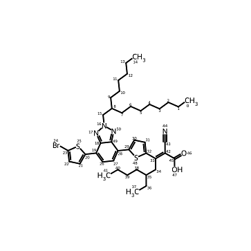 CCCCCCCCC(CCCCCC)Cn1nc2c(-c3ccc(Br)s3)ccc(-c3ccc(/C(CC(CC)CCCC)=C(\C#N)C(=O)O)s3)c2n1